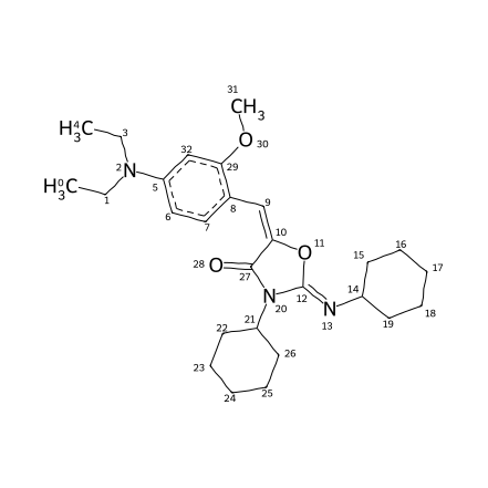 CCN(CC)c1ccc(/C=C2/OC(=NC3CCCCC3)N(C3CCCCC3)C2=O)c(OC)c1